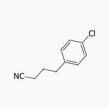 N#CCCCc1ccc(Cl)cc1